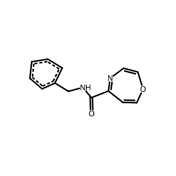 O=C(NCc1ccccc1)C1=NC=COC=C1